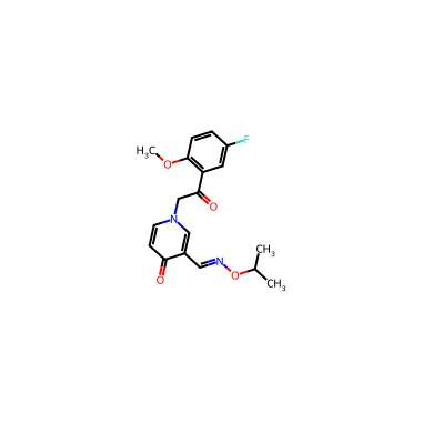 COc1ccc(F)cc1C(=O)Cn1ccc(=O)c(C=NOC(C)C)c1